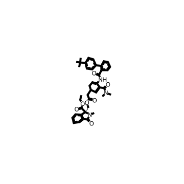 CCOC(=O)[C@]1(COC(=O)CC2C=C(C(=O)N(C)C)C(NC(=O)c3ccccc3-c3ccc(C(C)(C)C)cc3)=CC2)c2ccccc2C(=O)N1C